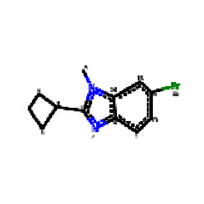 Cn1c(C2CCC2)nc2ccc(Br)cc21